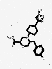 COC(=O)C1CN(C2CCC(c3cn(C)nn3)CC2)C(Cc2ccc(Cl)cc2)CO1